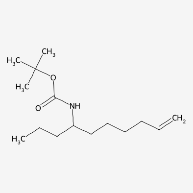 C=CCCCCC(CCC)NC(=O)OC(C)(C)C